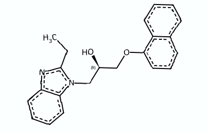 CCc1nc2ccccc2n1C[C@@H](O)COc1cccc2ccccc12